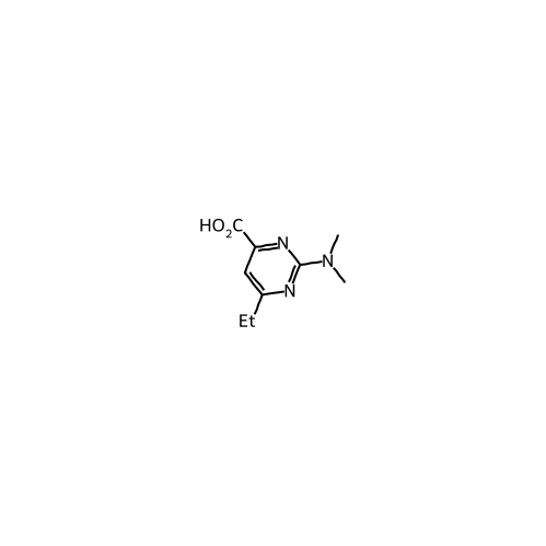 CCc1cc(C(=O)O)nc(N(C)C)n1